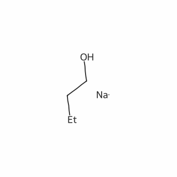 CCCCO.[Na]